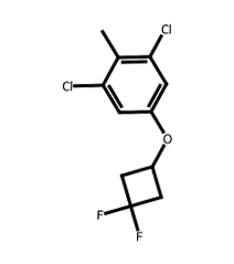 Cc1c(Cl)cc(OC2CC(F)(F)C2)cc1Cl